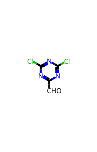 O=Cc1nc(Cl)nc(Cl)n1